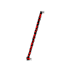 CCOS(=S)(=S)SSSSSSSSSSSSSSSSSSSSSSSSSSSSSSSSSSSSSSSSSSSSSSSSSSSSSSSSSSSSSSSSSS